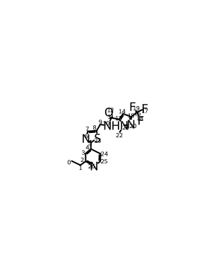 CCc1cc(-c2ncc(CNC(=O)c3cc(C(F)(F)F)nn3C)s2)ccn1